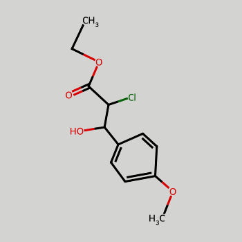 CCOC(=O)C(Cl)C(O)c1ccc(OC)cc1